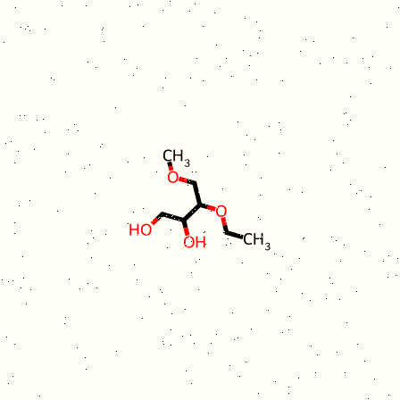 CCOC(COC)C(O)CO